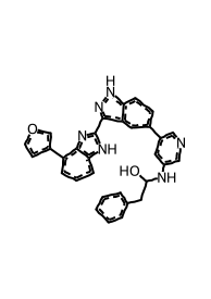 OC(Cc1ccccc1)Nc1cncc(-c2ccc3[nH]nc(-c4nc5c(-c6ccoc6)cccc5[nH]4)c3c2)c1